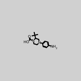 CC(C)(C)C1CN(c2ccc(N)cc2)CCN1C(=O)O